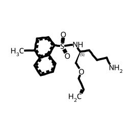 C=CCOC[C@H](CCCN)NS(=O)(=O)c1ccc(C)c2ccccc12